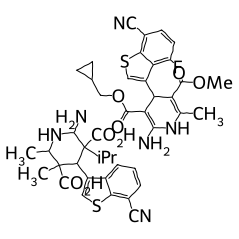 CC1NC(N)C(C(=O)O)(C(C)C)C(c2csc3c(C#N)cccc23)C1(C)C(=O)O.COC(=O)C1=C(C)NC(N)=C(C(=O)OCC2CC2)C1c1csc2c(C#N)ccc(F)c12